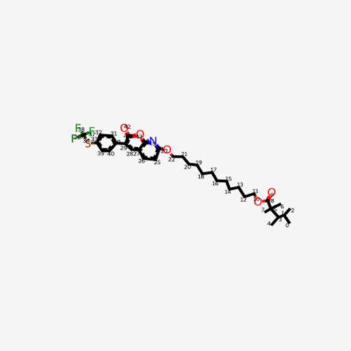 CC(C)C(C)C(C)(C)C(=O)OCCCCCCCCCCCCOc1ccc2cc(-c3ccc(SC(F)(F)F)cc3)c(=O)oc2n1